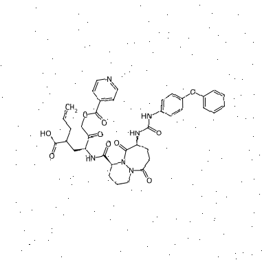 C=CCC(C[C@H](NC(=O)[C@@H]1CCCN2C(=O)CC[C@H](NC(=O)Nc3ccc(Oc4ccccc4)cc3)C(=O)N12)C(=O)COC(=O)c1ccncc1)C(=O)O